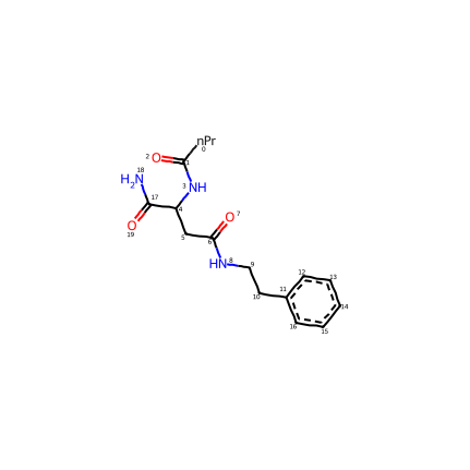 CCCC(=O)NC(CC(=O)NCCc1ccccc1)C(N)=O